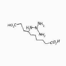 NN(N)N.O=C(O)CCCCCCCCC(=O)O